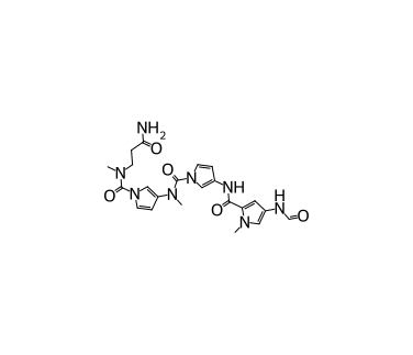 CN(CCC(N)=O)C(=O)n1ccc(N(C)C(=O)n2ccc(NC(=O)c3cc(NC=O)cn3C)c2)c1